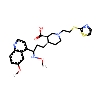 CONC(CC[C@@H]1CCN(CCSc2nccs2)C[C@@H]1C(=O)O)c1ccnc2ccc(OC)cc12